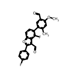 COc1cc(C)c(-c2ccc3oc(-c4ccc(F)cc4)c(C=O)c3c2F)cc1C=O